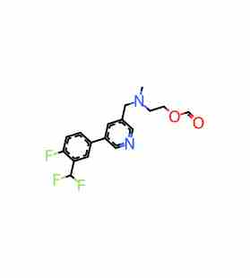 CN(CCOC=O)Cc1cncc(-c2ccc(F)c(C(F)F)c2)c1